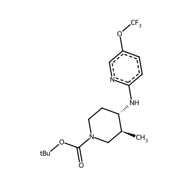 C[C@H]1CN(C(=O)OC(C)(C)C)CC[C@@H]1Nc1ccc(OC(F)(F)F)cn1